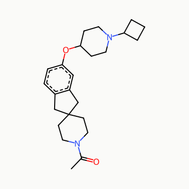 CC(=O)N1CCC2(CC1)Cc1ccc(OC3CCN(C4CCC4)CC3)cc1C2